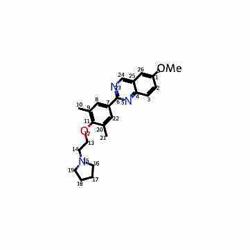 COc1ccc2nc(-c3cc(C)c(OCCN4CCCC4)c(C)c3)ncc2c1